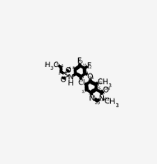 CCCS(=O)(=O)Nc1cc(F)c(F)c(Oc2ccc3ncn(C)c(=O)c3c2C)c1Cl